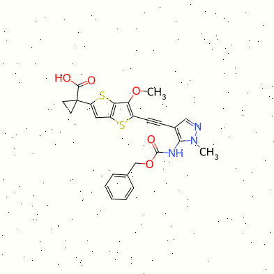 COc1c(C#Cc2cnn(C)c2NC(=O)OCc2ccccc2)sc2cc(C3(C(=O)O)CC3)sc12